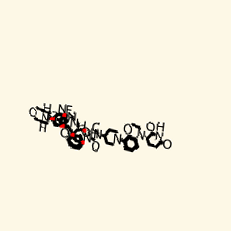 CN(C(=O)N1CCC(Oc2cc(F)cc(N3C4COC[C@H]3CN(c3cc(-c5ccccc5O)nnc3N)C4)c2)CC1)C1CCN(c2cccc3c2OCCN3[C@H]2CCC(=O)NC2=O)CC1